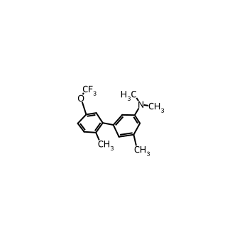 Cc1cc(-c2cc(OC(F)(F)F)ccc2C)cc(N(C)C)c1